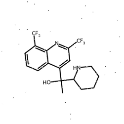 CC(O)(c1cc(C(F)(F)F)nc2c(C(F)(F)F)cccc12)C1CCCCN1